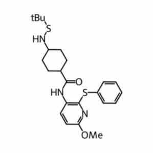 COc1ccc(NC(=O)C2CCC(NSC(C)(C)C)CC2)c(Sc2ccccc2)n1